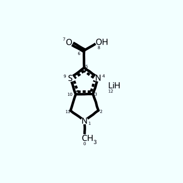 CN1Cc2nc(C(=O)O)sc2C1.[LiH]